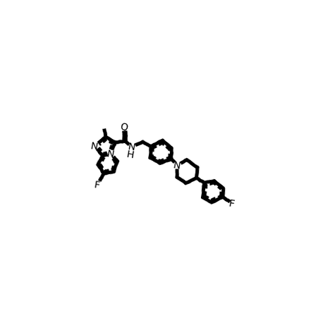 Cc1nc2cc(F)ccn2c1C(=O)NCc1ccc(N2CCC(c3ccc(F)cc3)CC2)cc1